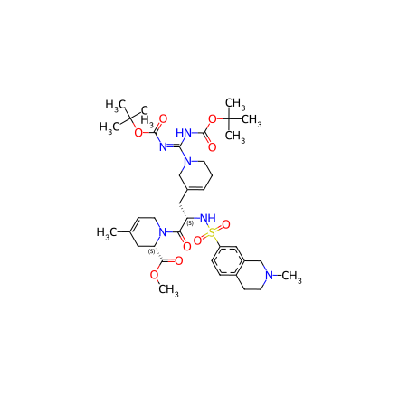 COC(=O)[C@@H]1CC(C)=CCN1C(=O)[C@H](CC1=CCCN(C(=NC(=O)OC(C)(C)C)NC(=O)OC(C)(C)C)C1)NS(=O)(=O)c1ccc2c(c1)CN(C)CC2